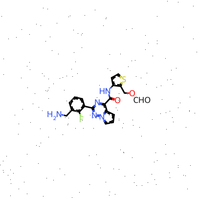 NCc1cccc(-c2nc(C(=O)Nc3ccsc3COC=O)c3cccn3n2)c1F